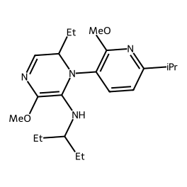 CCC(CC)NC1=C(OC)N=CC(CC)N1c1ccc(C(C)C)nc1OC